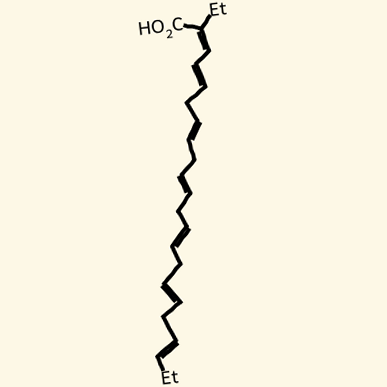 CCC=CCC=CCC=CCC=CCC=CCC=CC=C(CC)C(=O)O